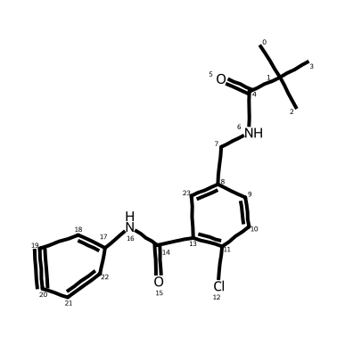 CC(C)(C)C(=O)NCc1ccc(Cl)c(C(=O)Nc2cc#ccc2)c1